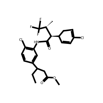 CCC(CC(=O)OC)c1ccc(Cl)c(NC(=O)[C@H](C2C=CC(Cl)=CC2)[C@@H](C)C(F)(F)F)c1